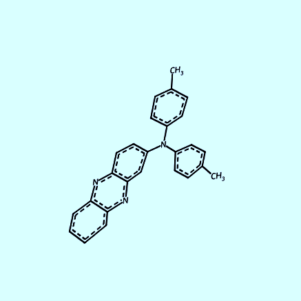 Cc1ccc(N(c2ccc(C)cc2)c2ccc3nc4ccccc4nc3c2)cc1